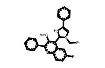 COc1c(-c2ccccc2)nc2ccc(F)cc2c1C1NC(c2ccccc2)=CN1CC(C)C